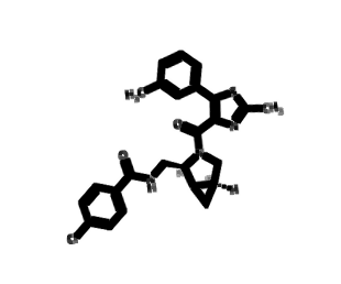 Cc1cccc(-c2sc(C)nc2C(=O)N2C[C@H]3CC3[C@H]2CNC(=O)c2ccc(Cl)cc2)c1